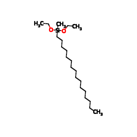 CCCCCCCCCCCCCCCC[Si](C)(OCC)OCC